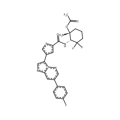 N[C@@]1(OC(=O)C(F)(F)F)CCCC(F)(F)[C@@H]1NC(=O)c1cc(-c2cnc3cc(-c4ccc(F)cc4)cnn23)cs1